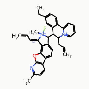 C=C/C=C1/c2c(ccc3c2oc2nc(C)ccc23)C(C2c3cc(CC)ccc3-c3cccc[n+]3C2CC=C)[N+]1(C)F